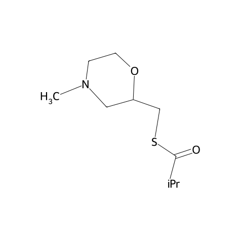 CC(C)C(=O)SCC1CN(C)CCO1